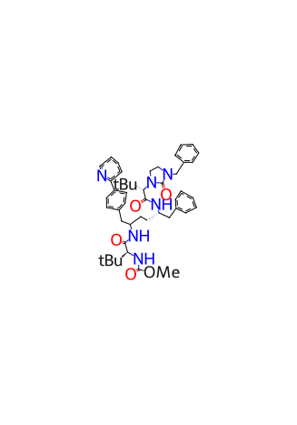 COC(=O)N[C@H](C(=O)NC(CC[C@@H](Cc1ccccc1)NC(=O)[C@@H](N1CCN(Cc2ccccc2)C1=O)C(C)(C)C)Cc1ccc(-c2ccccn2)cc1)C(C)(C)C